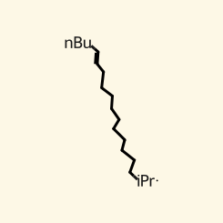 CCCCC=CCCCCCCCCCC[C](C)C